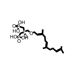 CC(C)=CCCC(C)=CCCC(C)=CCOCP(=O)(CP(=O)(O)O)CP(=O)(O)O